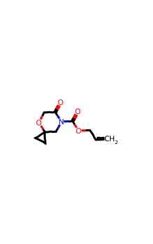 C=CCOC(=O)N1CC2(CC2)OCC1=O